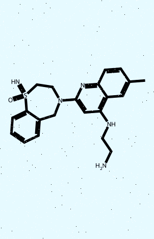 Cc1ccc2nc(N3CCS(=N)(=O)c4ccccc4C3)cc(NCCN)c2c1